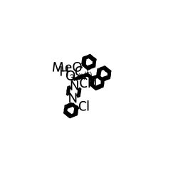 COc1ccccc1[C@H](c1cccc2ccccc12)[C@@](C)(C#N)C(=O)N1CCN(c2ccccc2Cl)CC1